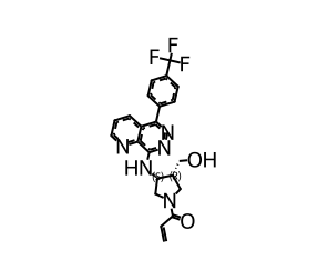 C=CC(=O)N1C[C@@H](CO)[C@H](Nc2nnc(-c3ccc(C(F)(F)F)cc3)c3cccnc23)C1